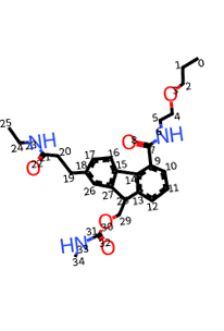 CCCOCCNC(=O)c1cccc2c1-c1ccc(CCC(=O)NCC)cc1C2COC(=O)NC